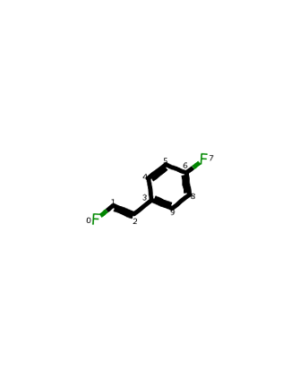 FC=Cc1ccc(F)cc1